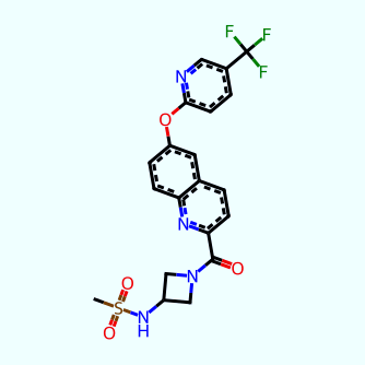 CS(=O)(=O)NC1CN(C(=O)c2ccc3cc(Oc4ccc(C(F)(F)F)cn4)ccc3n2)C1